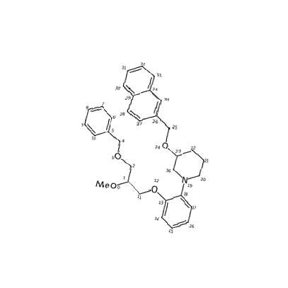 COC(COCc1ccccc1)COc1ccccc1N1CCCC(OCc2ccc3ccccc3c2)C1